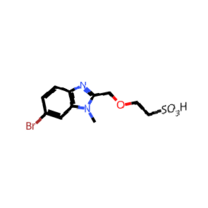 Cn1c(COCCS(=O)(=O)O)nc2ccc(Br)cc21